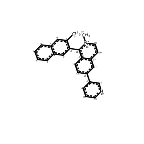 Cc1cc2ccccc2cc1-c1c2ccc(-c3cccnc3)cc2cc[n+]1C